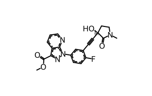 COC(=O)c1nn(-c2ccc(F)c(C#C[C@]3(O)CCN(C)C3=O)c2)c2ncccc12